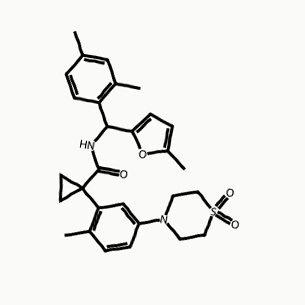 Cc1ccc(C(NC(=O)C2(c3cc(N4CCS(=O)(=O)CC4)ccc3C)CC2)c2ccc(C)o2)c(C)c1